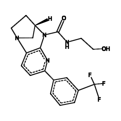 O=C(NCCO)N1c2nc(-c3cccc(C(F)(F)F)c3)ccc2N2CC[C@H]1C2